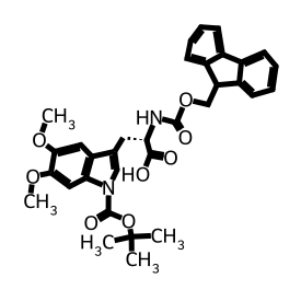 COc1cc2c(C[C@H](NC(=O)OCC3c4ccccc4-c4ccccc43)C(=O)O)cn(C(=O)OC(C)(C)C)c2cc1OC